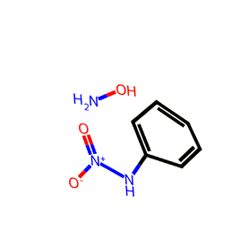 NO.O=[N+]([O-])Nc1ccccc1